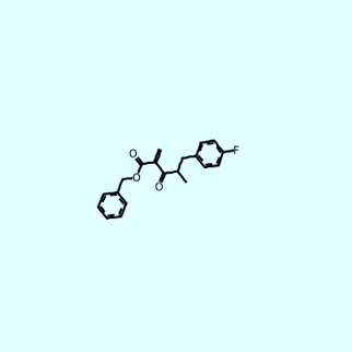 C=C(C(=O)OCc1ccccc1)C(=O)C(C)Cc1ccc(F)cc1